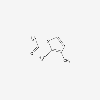 Cc1ccsc1C.NC=O